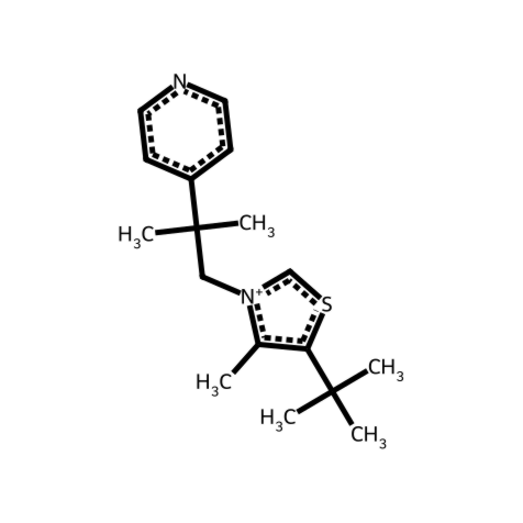 Cc1c(C(C)(C)C)sc[n+]1CC(C)(C)c1ccncc1